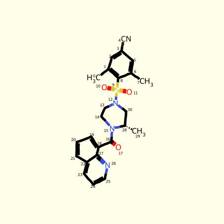 Cc1cc(C#N)cc(C)c1S(=O)(=O)N1CCN(C(=O)c2cccc3cccnc23)[C@@H](C)C1